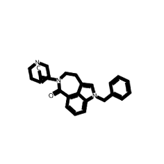 O=C1c2cccc3c2c(cn3Cc2ccccc2)CCN1C1CN2CCC1CC2